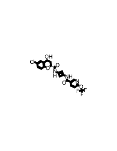 O=C(NC12CC(NC(=O)[C@H]3C[C@@H](O)c4cc(Cl)ccc4O3)(C1)C2)c1ccc(OC(F)(F)F)nc1